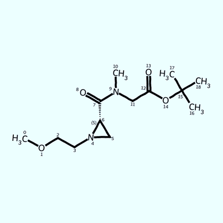 COCCN1C[C@H]1C(=O)N(C)CC(=O)OC(C)(C)C